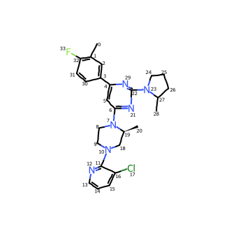 Cc1cc(-c2cc(N3CCN(c4ncccc4Cl)C[C@@H]3C)nc(N3CCCC3C)n2)ccc1F